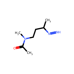 CC(=O)N(C)CCC(C)N=N